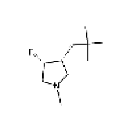 CN1C[C@@H](CC(C)(C)C)[C@@H](F)C1